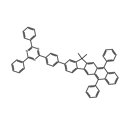 CC1(C)c2cc(-c3ccc(-c4nc(-c5ccccc5)nc(-c5ccccc5)n4)cc3)ccc2-c2cc3c(-c4ccccc4)c4ccccc4c(-c4ccccc4)c3cc21